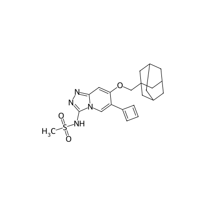 CS(=O)(=O)Nc1nnc2cc(OCC34CC5CC(CC(C5)C3)C4)c(C3=CC=C3)cn12